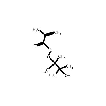 C=C(C)C(=O)OOC(C)(C)C(C)(C)O